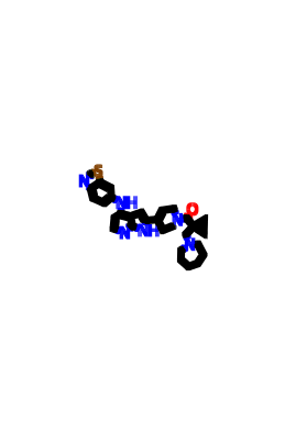 O=C(N1CC=C(c2cc3c(Nc4ccc5ncsc5c4)ccnc3[nH]2)CC1)C1(CN2CCCCCC2)CC1